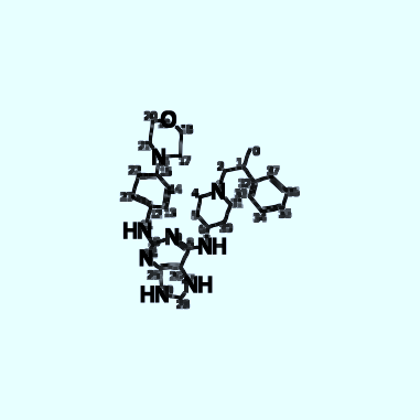 CC(CN1CCC(Nc2nc(Nc3ccc(N4CCOCC4)cc3)nc3c2NCN3)CC1)c1ccccc1